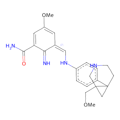 COCC12CNCCC1(c1ccc(N/C=C3/C=C(OC)C=C(C(N)=O)C3=N)cc1)C2